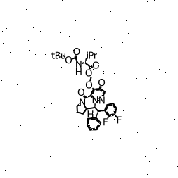 CC(C)[C@H](NC(=O)OC(C)(C)C)C(=O)OCOc1c2n(ncc1=O)[C@@H]([C@H](c1ccccc1)c1cccc(F)c1F)[C@H]1CCCN1C2=O